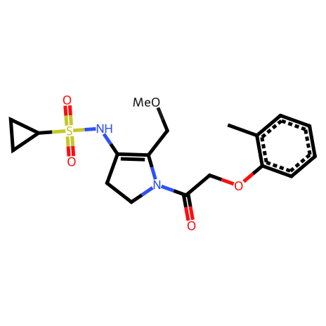 COCC1=C(NS(=O)(=O)C2CC2)CCN1C(=O)COc1ccccc1C